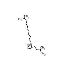 CC(C)CCCCCCCCCn1nncc1CCC(C)C